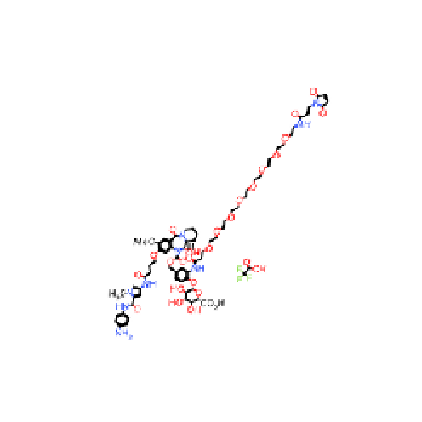 COc1cc2c(cc1OCCCC(=O)Nc1cc(C(=O)Nc3ccc(N)cc3)n(C)c1)N(C(=O)OCc1ccc(O[C@@H]3O[C@H](C(=O)O)[C@@H](O)[C@H](O)[C@H]3O)c(NC(=O)CCOCCOCCOCCOCCOCCOCCOCCOCCNC(=O)CCN3C(=O)C=CC3=O)c1)C(O)[C@@H]1CCCCN1C2=O.O=C(O)C(F)(F)F